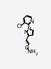 NO/C=C/c1ccn(-c2ncccc2Cl)n1